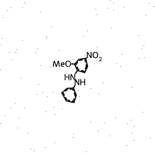 COc1cc([N+](=O)[O-])ccc1NNc1ccccc1